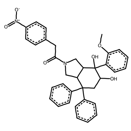 COc1ccccc1C1(O)C(O)CC(c2ccccc2)(c2ccccc2)C2CN(C(=O)Cc3ccc([N+](=O)[O-])cc3)CC21